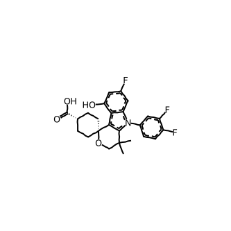 CC1(C)CO[C@]2(CC[C@@H](C(=O)O)CC2)c2c1n(-c1ccc(F)c(F)c1)c1cc(F)cc(O)c12